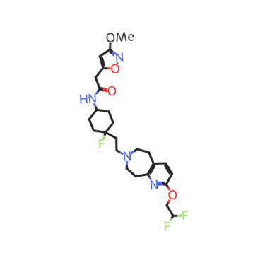 COc1cc(CC(=O)NC2CCC(F)(CCN3CCc4ccc(OCC(F)F)nc4CC3)CC2)on1